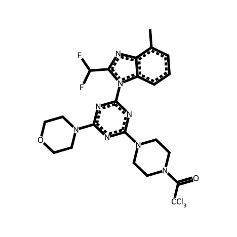 Cc1cccc2c1nc(C(F)F)n2-c1nc(N2CCOCC2)nc(N2CCN(C(=O)C(Cl)(Cl)Cl)CC2)n1